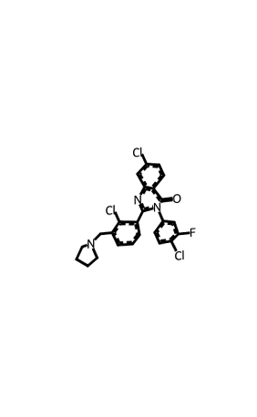 O=c1c2ccc(Cl)cc2nc(-c2cccc(CN3CCCC3)c2Cl)n1-c1ccc(Cl)c(F)c1